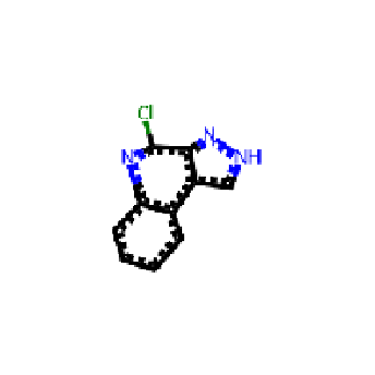 Clc1nc2ccccc2c2c[nH]nc12